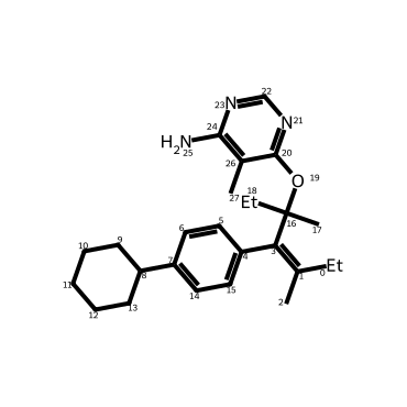 CC/C(C)=C(/c1ccc(C2CCCCC2)cc1)C(C)(CC)Oc1ncnc(N)c1C